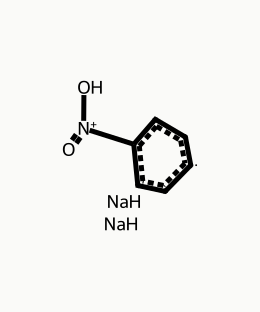 O=[N+](O)c1cc[c]cc1.[NaH].[NaH]